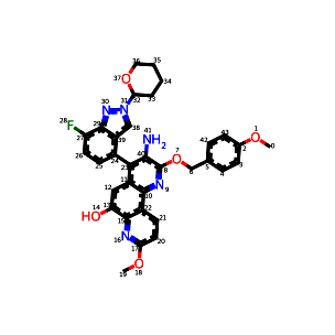 COc1ccc(COc2nc3c(cc(O)c4nc(OC)ccc43)c(-c3ccc(F)c4nn(C5CCCCO5)cc34)c2N)cc1